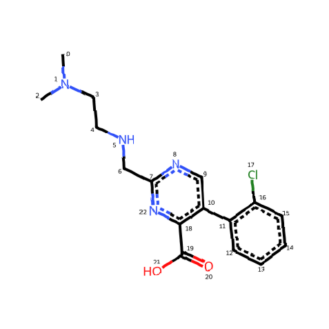 CN(C)CCNCc1ncc(-c2ccccc2Cl)c(C(=O)O)n1